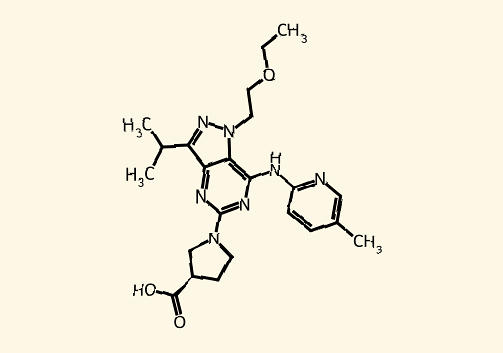 CCOCCn1nc(C(C)C)c2nc(N3CC[C@@H](C(=O)O)C3)nc(Nc3ccc(C)cn3)c21